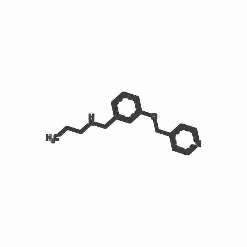 CCCNCc1cccc(OCc2ccncc2)c1